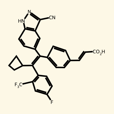 N#Cc1n[nH]c2ccc(C(=C(c3ccc(F)cc3C(F)(F)F)C3CCC3)c3ccc(C=CC(=O)O)cc3)cc12